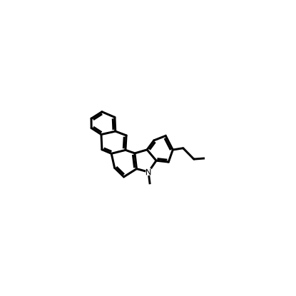 CCCc1ccc2c3c4cc5ccccc5cc4ccc3n(C)c2c1